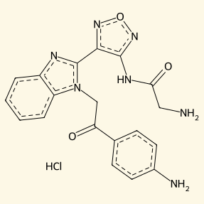 Cl.NCC(=O)Nc1nonc1-c1nc2ccccc2n1CC(=O)c1ccc(N)cc1